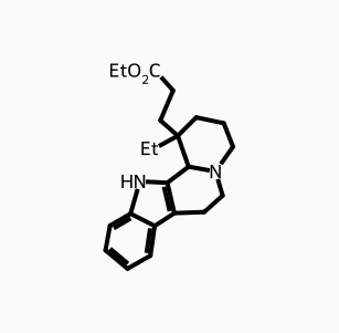 CCOC(=O)CCC1(CC)CCCN2CCc3c([nH]c4ccccc34)C21